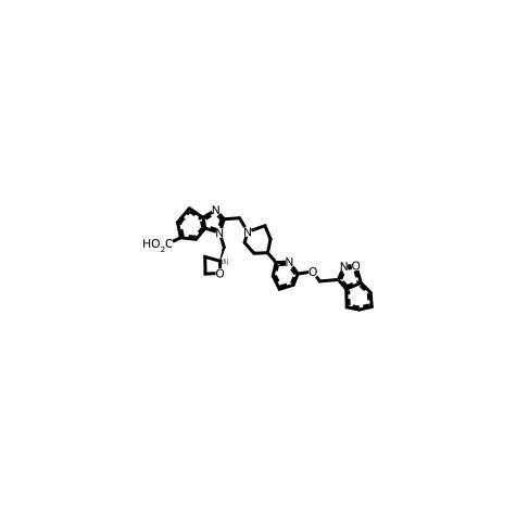 O=C(O)c1ccc2nc(CN3CCC(c4cccc(OCc5noc6ccccc56)n4)CC3)n(C[C@@H]3CCO3)c2c1